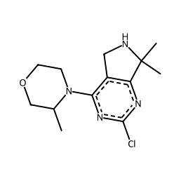 CC1COCCN1c1nc(Cl)nc2c1CNC2(C)C